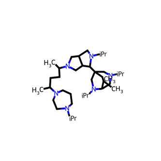 CC(C)N1CCCN(C(C)CCC(C)N2CC3CN(C(C)C)C(C45CN(C(C)C)CC(N(C(C)C)C4)C(C)(C)C5)C3C2)CC1